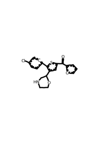 O=C(c1ccco1)c1cc(C2CNCCO2)c(-c2ccc(Cl)cc2)s1